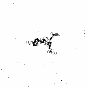 CC(C)(C)C(=O)SCCOP(=O)(OCCSC(=O)C(C)(C)C)OC[C@@]1(C#N)O[C@H](c2ccc3c(N)ccnn23)[C@H](F)[C@@H]1O